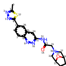 Cc1nnc(-c2ccc3nnc(NC(=O)CN4CC5CCC(C4)O5)cc3c2)s1